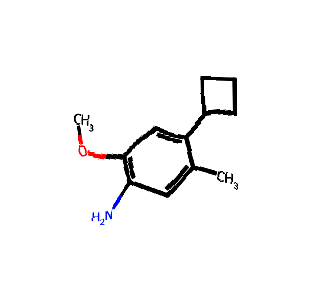 COc1cc(C2CCC2)c(C)cc1N